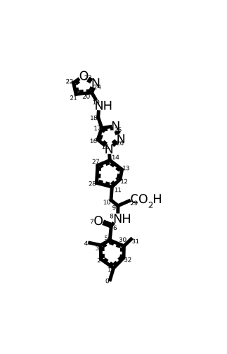 Cc1cc(C)c(C(=O)NC(Cc2ccc(-n3cc(CNc4ccon4)nn3)cc2)C(=O)O)c(C)c1